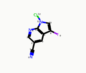 N#Cc1cnc2c(c1)c(I)cn2Cl